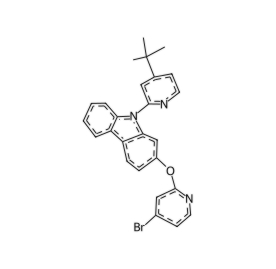 CC(C)(C)c1ccnc(-n2c3ccccc3c3ccc(Oc4cc(Br)ccn4)cc32)c1